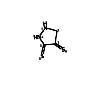 S=C1CNNC1=S